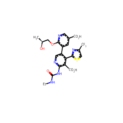 CCNC(=O)Nc1ncc(-c2cc(C(=O)O)cnc2OC[C@H](C)O)c(-c2nc(C(F)(F)F)cs2)c1C(=O)O